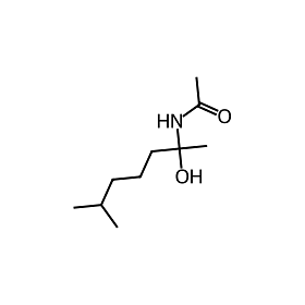 CC(=O)NC(C)(O)CCCC(C)C